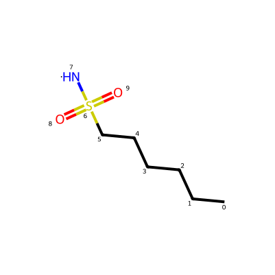 CCCCCCS([NH])(=O)=O